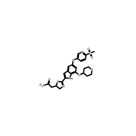 CS(=O)(=O)c1ccc(Oc2cc(OC3CCOCC3)c3[nH]c(C4=NCC(CC(N)=O)S4)cc3c2)cn1